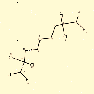 FC(F)C(Cl)(Cl)CCOCCC(Cl)(Cl)C(F)F